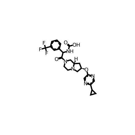 O=C(O)NC(C(=O)N1CCN2C[C@H](Oc3cnc(C4CC4)cn3)C[C@H]2C1)c1cccc(C(F)(F)F)c1